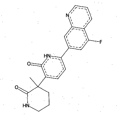 CC1(c2ccc(-c3cc(F)c4cccnc4c3)[nH]c2=O)CCCNC1=O